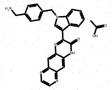 CC(=O)O.NCc1ccc(Cn2cc(-c3nc4cc5nccnc5cc4[nH]c3=O)c3ccccc32)cc1